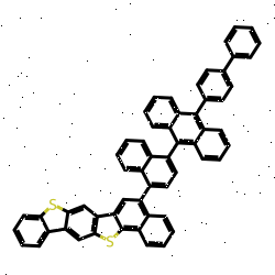 c1ccc(-c2ccc(-c3c4ccccc4c(-c4ccc(-c5cc6c7cc8sc9ccccc9c8cc7sc6c6ccccc56)c5ccccc45)c4ccccc34)cc2)cc1